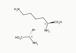 CC(C)[C@H](N)C(=O)O.NCCCC[C@H](N)C(=O)O